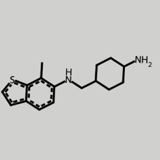 Cc1c(NCC2CCC(N)CC2)ccc2ccsc12